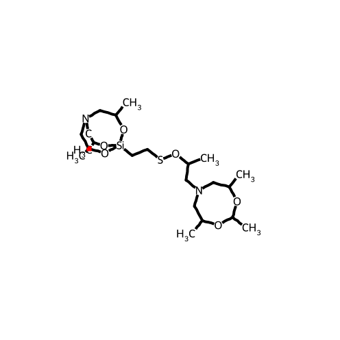 CC(CN1CC(C)OC(C)OC(C)C1)OSCC[Si]12OC(C)CN(CC(C)O1)CC(C)O2